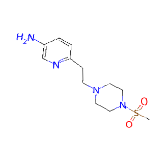 CS(=O)(=O)N1CCN(CCc2ccc(N)cn2)CC1